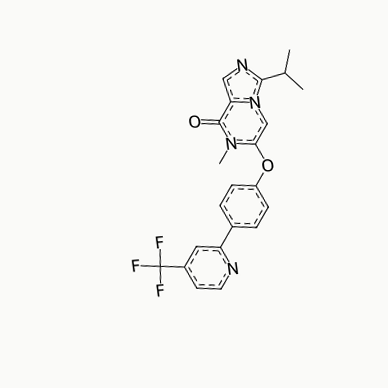 CC(C)c1ncc2c(=O)n(C)c(Oc3ccc(-c4cc(C(F)(F)F)ccn4)cc3)cn12